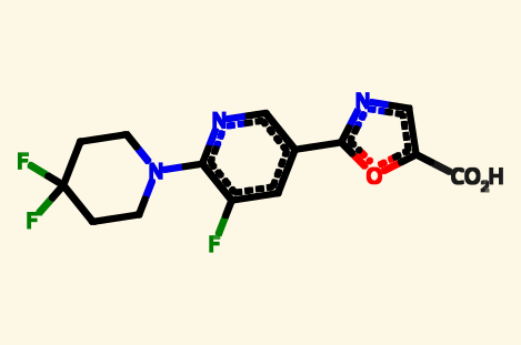 O=C(O)c1cnc(-c2cnc(N3CCC(F)(F)CC3)c(F)c2)o1